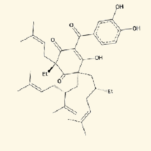 C=C(C)[C@H](CC=C(C)C)C[C@]1(C[C@H](CC)CC=C(C)C)C(=O)[C@](CC)(CC=C(C)C)C(=O)C(C(=O)c2ccc(O)c(O)c2)=C1O